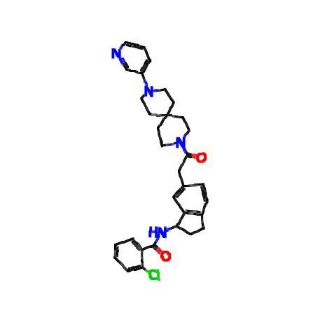 O=C(NC1CCc2ccc(CC(=O)N3CCC4(CC3)CCN(c3cccnc3)CC4)cc21)c1ccccc1Cl